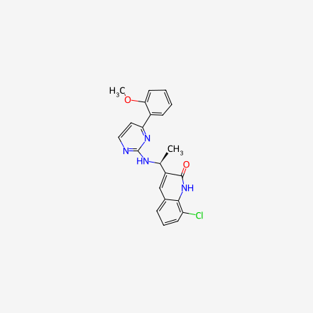 COc1ccccc1-c1ccnc(N[C@@H](C)c2cc3cccc(Cl)c3[nH]c2=O)n1